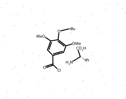 CC(C)[C@H](N)C(=O)O.CCCCOc1c(OC)cc(C(=O)Cl)cc1OC